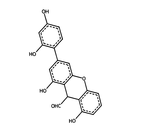 O=CC1c2c(O)cccc2Oc2cc(-c3ccc(O)cc3O)cc(O)c21